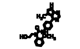 COc1ccccc1N(CCO)C(=O)Nc1ccc(-c2ncnc3[nH]cc(C)c23)cc1